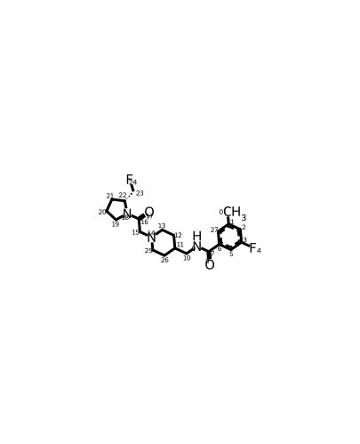 Cc1cc(F)cc(C(=O)NCC2CCN(CC(=O)N3CCC[C@@H]3CF)CC2)c1